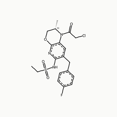 CCS(=O)(=O)Nc1nc2c(cc1Cc1ccc(F)cc1)N(C(=O)CCl)[C@@H](C)CO2